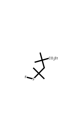 CCOC(=O)C(C)(C)CC(C)(C)SF